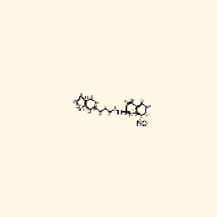 O=NC1=c2nc(OCCCCN3CCc4ccsc4C3)ccc2=CCC1